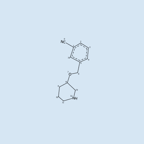 N#Cc1cccc(COC2CCCNC2)c1